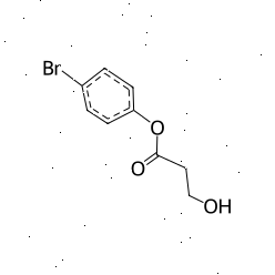 O=C(CCO)Oc1ccc(Br)cc1